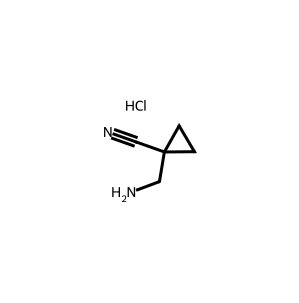 Cl.N#CC1(CN)CC1